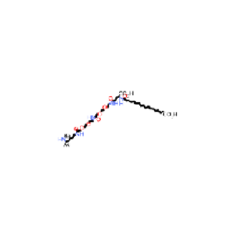 CC(=O)[C@H](CCCCNC(=O)COCCOCCNC(=O)COCCOCCNC(=O)CC[C@H](NC(=O)CCCCCCCCCCCCCCCCC(=O)O)C(=O)O)NC(C)(C)C